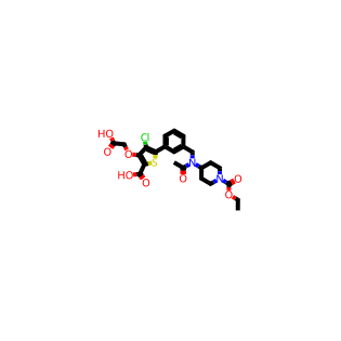 CCOC(=O)N1CCC(N(Cc2cccc(-c3sc(C(=O)O)c(OCC(=O)O)c3Cl)c2)C(C)=O)CC1